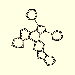 c1ccc(-c2cc(-c3ccccc3)n3c4cc5c(cc4c4c6ccccc6ccc4c23)oc2ccccc25)cc1